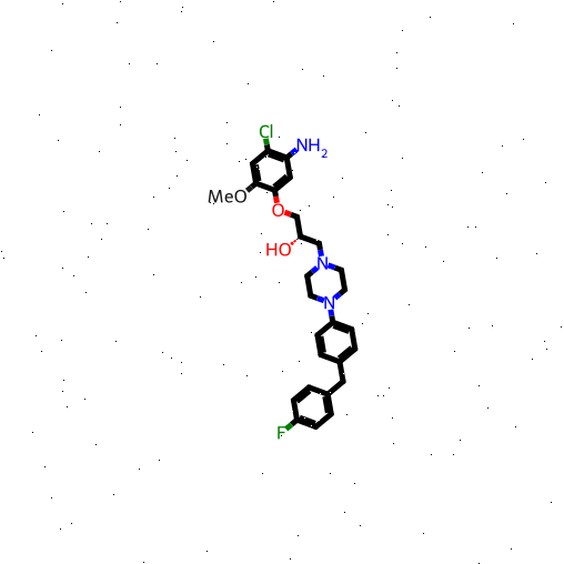 COc1cc(Cl)c(N)cc1OC[C@@H](O)CN1CCN(c2ccc(Cc3ccc(F)cc3)cc2)CC1